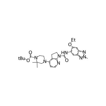 CCOc1cc2nn(C)nc2cc1NC(=O)N1CCc2c(N3CCN(C(=O)OC(C)(C)C)C(C)(C)C3)ccnc21